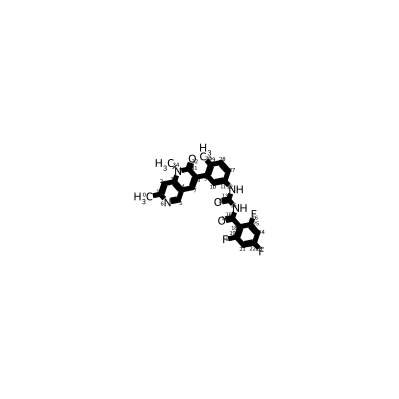 Cc1cc2c(cn1)cc(-c1cc(NC(=O)NC(=O)c3c(F)cc(F)cc3F)ccc1C)c(=O)n2C